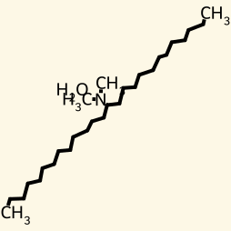 CCCCCCCCCCCCCC(CCCCCCCCCCCC)N(C)C.O